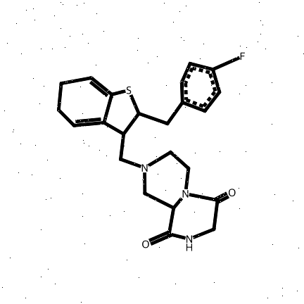 O=C1NCC(=O)N2CCN(CC3C4=CCCC=C4SC3Cc3ccc(F)cc3)CC12